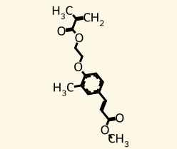 C=C(C)C(=O)OCCOc1ccc(/C=C/C(=O)OC)cc1C